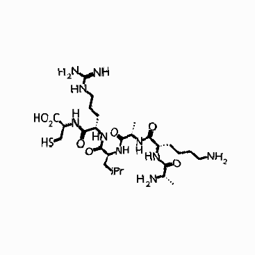 CC(C)C[C@H](NC(=O)[C@H](C)NC(=O)[C@H](CCCCN)NC(=O)[C@H](C)N)C(=O)N[C@@H](CCCNC(=N)N)C(=O)N[C@@H](CS)C(=O)O